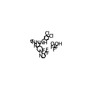 FC(F)(F)c1cccnc1N1CCc2nc(N3CCC3)nc(NCc3ccc(Cl)c(Cl)c3)c2CC1.O=C(O)C(F)(F)F